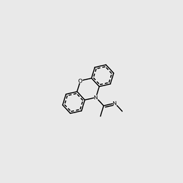 CN=C(C)N1c2ccccc2Oc2ccccc21